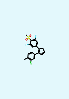 Cc1ccc(C2=C(c3cc(F)c(S(C)(=O)=O)c(F)c3)CC=C2)cc1Cl